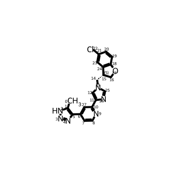 Cc1[nH]nnc1-c1ccnc(-c2cn(C[C@H]3COc4ccc(Cl)cc43)cn2)c1